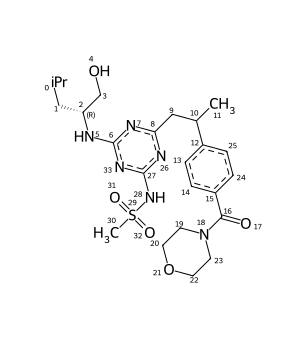 CC(C)C[C@H](CO)Nc1nc(CC(C)c2ccc(C(=O)N3CCOCC3)cc2)nc(NS(C)(=O)=O)n1